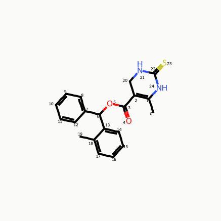 CC1=C(C(=O)OC(c2ccccc2)c2ccccc2C)CNC(=S)N1